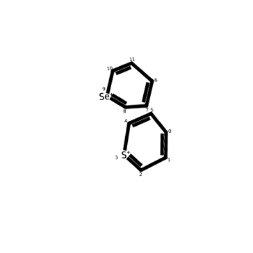 c1cc[s+]cc1.c1cc[se+]cc1